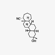 C[C@@]1(O)CC[C@H]2[C@H](CC[C@@H]3[C@@H]2CC[C@]2(C)[C@H](C#N)CCCC[C@@H]32)C1